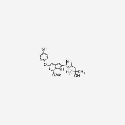 COc1cc(Oc2ccc(S)cn2)cc2cc(C3=NCC(CC(C)(C)O)S3)[nH]c12